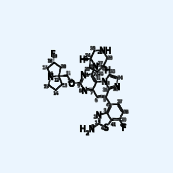 Nc1nc2c(-c3cc4nc(OC[C@@]56CCCN5C[C@H](F)C6)nc(N5[C@@H]6CC[C@H]5CNC6)c4n4ccnc34)ccc(F)c2s1